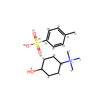 C[N+](C)(C)C1CCC(O)CC1.Cc1ccc(S(=O)(=O)[O-])cc1